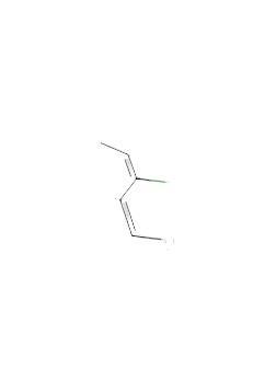 C/C=C(Cl)\C=C/C(C)C